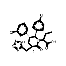 CCC(C(=O)O)N1C(=O)[C@@](C)(Cc2nnn[nH]2)C[C@H](c2cccc(Cl)c2)[C@H]1c1ccc(Cl)cc1